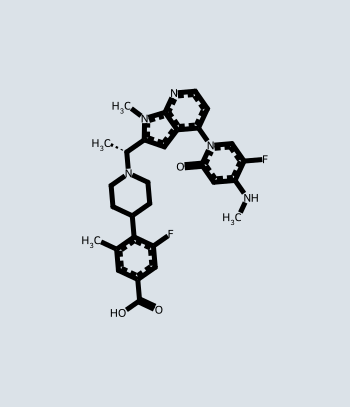 CNc1cc(=O)n(-c2ccnc3c2cc([C@@H](C)N2CCC(c4c(C)cc(C(=O)O)cc4F)CC2)n3C)cc1F